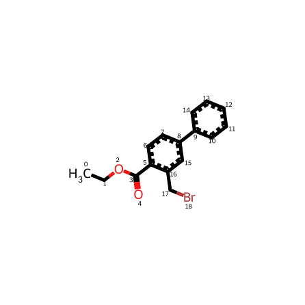 CCOC(=O)c1ccc(-c2ccccc2)cc1CBr